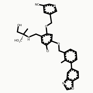 Cc1c(COc2cc(OCc3cncc(C#N)c3)c(CN[C@](C)(CO)C(=O)O)cc2Cl)cccc1-c1ccc2ocnc2c1